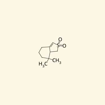 CC1(C)CCCC2=CS(=O)(=O)CC21